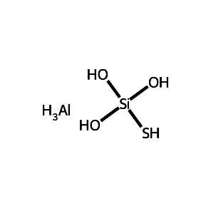 O[Si](O)(O)S.[AlH3]